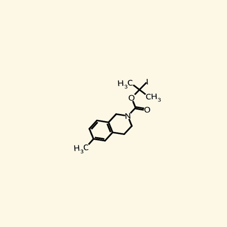 Cc1ccc2c(c1)CCN(C(=O)OC(C)(C)I)C2